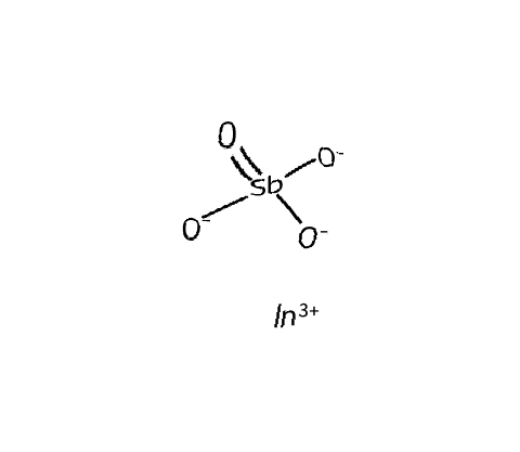 [In+3].[O]=[Sb]([O-])([O-])[O-]